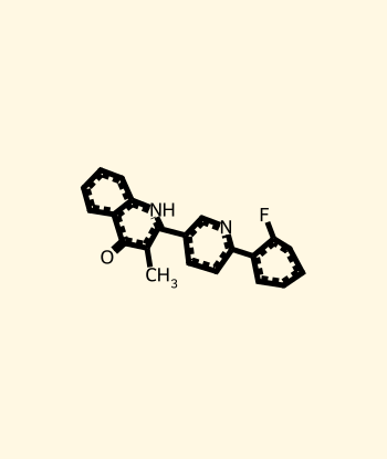 Cc1c(-c2ccc(-c3ccccc3F)nc2)[nH]c2ccccc2c1=O